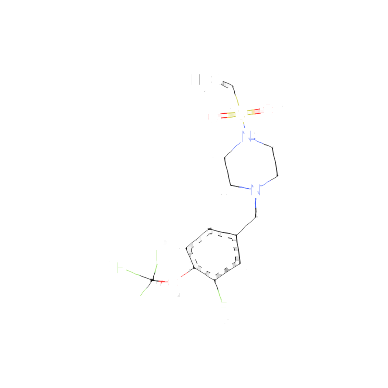 C=CS(=O)(=O)N1CCN(Cc2ccc(OC(F)(F)F)c(F)c2)CC1